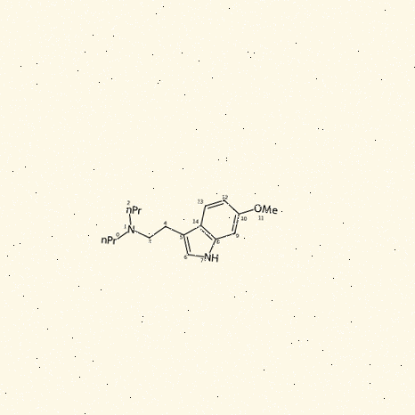 CCCN(CCC)CCc1c[nH]c2cc(OC)ccc12